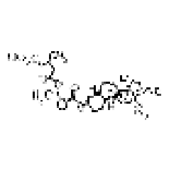 CC(=O)C1CC[C@H]2C3CC[C@H]4C[C@H](OC(=O)OC(C)OC(=O)CC(C)CC(=O)O)CC[C@]4(C)[C@H]3CCC12C